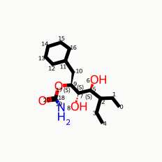 CCC(CC)[C@H](O)[C@H](O)[C@H](CC1CCCCC1)OC(N)=O